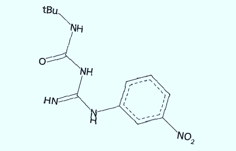 CC(C)(C)NC(=O)NC(=N)Nc1cccc([N+](=O)[O-])c1